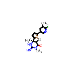 CCC1C(=O)N(C)C(=N)N[C@]1(C)c1ccc(-c2cnc(F)c(C)c2)s1